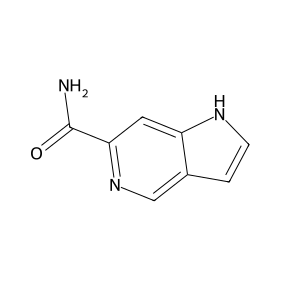 NC(=O)c1cc2[nH]ccc2cn1